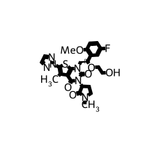 COc1ccc(F)cc1[C@H](Cn1c(=O)n(C2CCN(C)C2=O)c(=O)c2c(C)c(-n3nccn3)sc21)OCCO